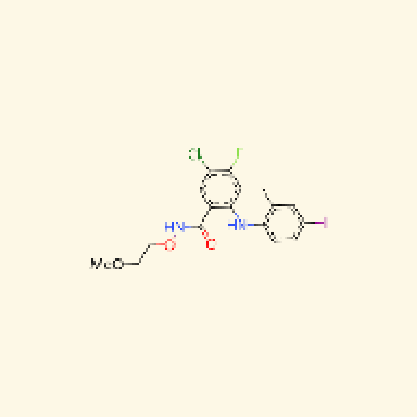 COCCONC(=O)c1cc(Cl)c(F)cc1Nc1ccc(I)cc1C